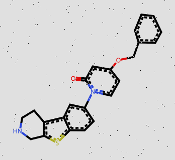 O=c1cc(OCc2ccccc2)ccn1-c1ccc2sc3c(c2c1)CCNC3